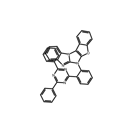 c1ccc(-c2nc(-c3ccccc3)nc(-c3ccccc3-n3c4oc5ccccc5c4n4c5ccccc5nc34)n2)cc1